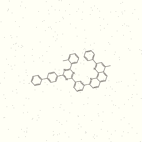 Cc1ccccc1-c1nc(-c2ccc(-c3ccccc3)cc2)nc(-c2cccc(-c3ccc4ccc5c(C)cc(-c6ccccc6)nc5c4n3)c2)n1